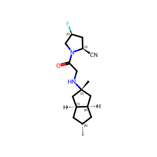 C[C@H]1C[C@@H]2C[C@@](C)(NCC(=O)N3C[C@@H](F)C[C@H]3C#N)C[C@@H]2C1